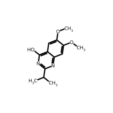 COc1cc2nc(C(C)C)nc(O)c2cc1OC